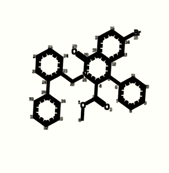 COC(=O)c1c(-c2ccccc2)c2cc(Br)ccc2c(=O)n1Cc1ccccc1-c1ccccc1